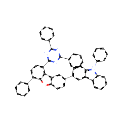 c1ccc(-c2nc(-c3ccccc3)nc(-c3ccc(-c4ccccc4)c4oc5ccc(-c6ccc7c(c6)c6ccccc6n7-c6ccccc6)cc5c34)n2)cc1